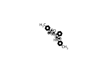 Cc1ccc(NS(=O)(=O)c2ccccc2NC(=O)NS(=O)(=O)c2ccc(C)cc2)cc1